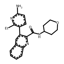 CCc1nc(N)ccc1-c1cc2ccccc2nc1C(=O)NC1CCOCC1